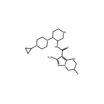 Nc1nn2c(c1C(=O)NC1CNCCC1N1CCN(C3CC3)CC1)NCC(F)C2